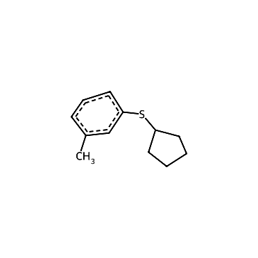 Cc1cccc(SC2CCCC2)c1